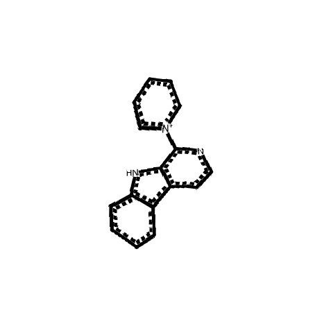 c1cc[n+](-c2nccc3c2[nH]c2ccccc23)cc1